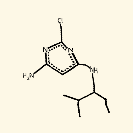 CCC(Nc1cc(N)nc(Cl)n1)C(C)C